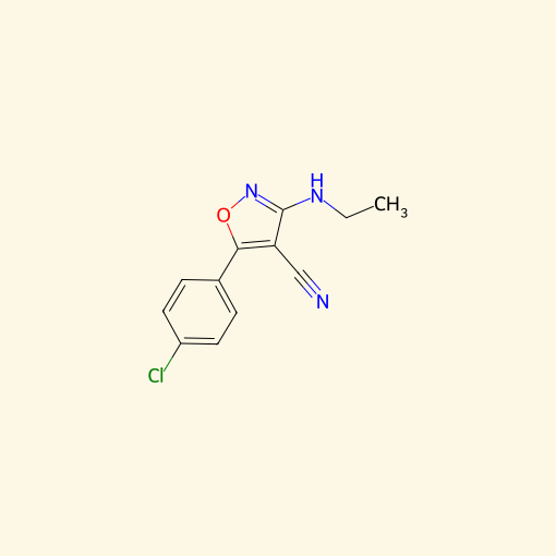 CCNc1noc(-c2ccc(Cl)cc2)c1C#N